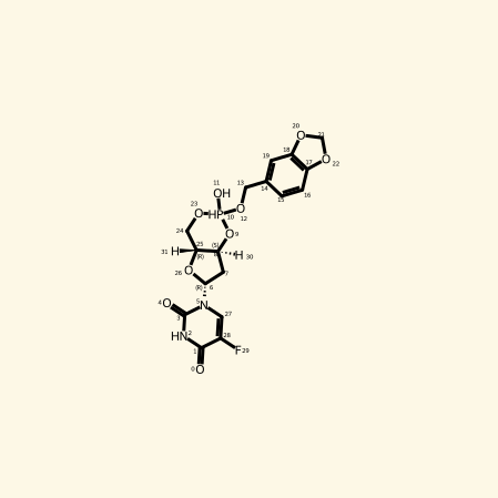 O=c1[nH]c(=O)n([C@H]2C[C@@H]3O[PH](O)(OCc4ccc5c(c4)OCO5)OC[C@H]3O2)cc1F